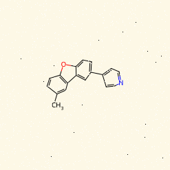 Cc1ccc2oc3ccc(-c4ccncc4)cc3c2c1